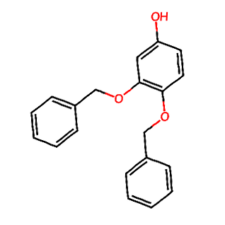 Oc1ccc(OCc2ccccc2)c(OCc2ccccc2)c1